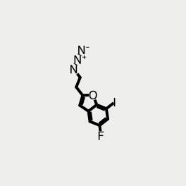 [N-]=[N+]=NCCc1cc2cc(F)cc(I)c2o1